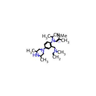 C=CN(C)Cc1cc(N2CC(C)NC(C)C2)ccc1N(/C=C(/C)NC)C(C)C#N